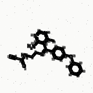 C#CC(=O)NCCN=C(c1ccc(Oc2ccccc2)cc1)c1c(C)ncnc1N